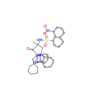 CC(Cc1c[nH]c2ccccc12)(NS(=O)(=O)c1cccc2cccc([N+](=O)[O-])c12)C(=O)NCC1(c2ccccn2)CCCCC1